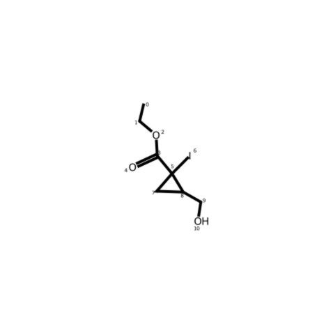 CCOC(=O)C1(I)CC1CO